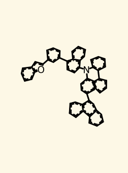 c1ccc(-c2ccccc2N(c2ccc(-c3cc4ccccc4c4ccccc34)cc2)c2ccc(-c3cccc(-c4cc5ccccc5o4)c3)c3ccccc23)cc1